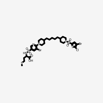 CSCCC(NS(=O)(=O)c1cnc(N2CCC(CCCCCC3CCN(S(=O)(=O)c4cc(Br)c(Cl)s4)CC3)CC2)c(Br)c1)C(=O)O